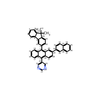 CC1(C)c2ccccc2-c2cc(-c3c4ccccc4c(-c4cncnc4)c4ccc(-c5ccc6ccccc6c5)cc34)ccc21